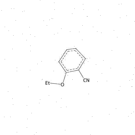 CCOc1ccc[c]c1C#N